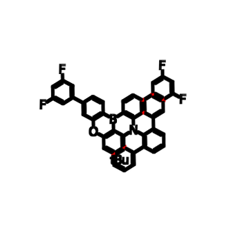 CC(C)(C)c1cc2c3c(c1)N(c1c(-c4ccccc4)cccc1-c1ccccc1)c1cc(-c4cc(F)cc(F)c4)ccc1B3c1ccc(-c3cc(F)cc(F)c3)cc1O2